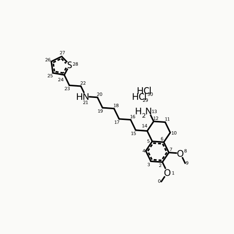 COc1ccc2c(c1OC)CCC(N)C2CCCCCCNCCc1cccs1.Cl.Cl